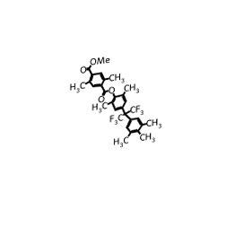 COC(=O)c1cc(C)c(C(=O)Oc2c(C)cc(C(c3cc(C)c(C)c(C)c3)(C(F)(F)F)C(F)(F)F)cc2C)cc1C